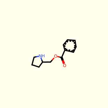 O=C(OCC1CCCN1)c1ccccc1